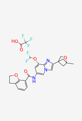 CC12CC(c3cn4cc(NC(=O)c5cccc6c5OCC6)cc(OC(F)F)c4n3)(CO1)C2.O=C(O)C(F)(F)F